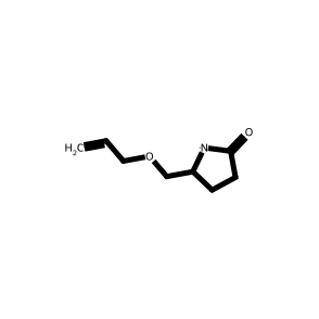 C=CCOCC1CCC(=O)[N]1